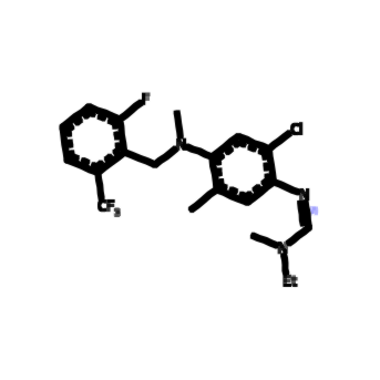 CCN(C)/C=N\c1cc(C)c(N(C)Cc2c(F)cccc2C(F)(F)F)cc1Cl